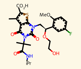 COc1ccc(F)cc1[C@H](Cn1c(=O)n(C(C)(C)C(=O)NC(C)C)c(=O)c2c(C)c(C(=O)O)sc21)OCCO